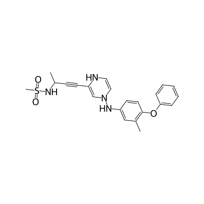 Cc1cc(NN2C=CNC(C#CC(C)NS(C)(=O)=O)=C2)ccc1Oc1ccccc1